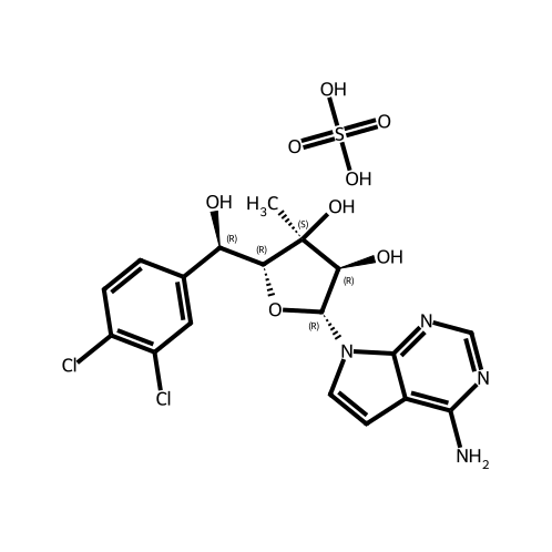 C[C@@]1(O)[C@@H]([C@H](O)c2ccc(Cl)c(Cl)c2)O[C@@H](n2ccc3c(N)ncnc32)[C@@H]1O.O=S(=O)(O)O